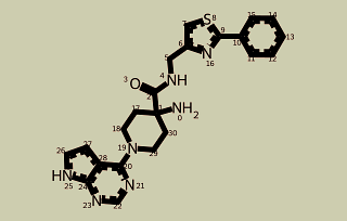 NC1(C(=O)NCc2csc(-c3ccccc3)n2)CCN(c2ncnc3[nH]ccc23)CC1